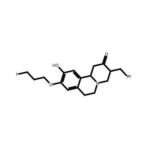 CC(C)CC1CN2CCc3cc(OCCCF)c(O)cc3C2CC1=O